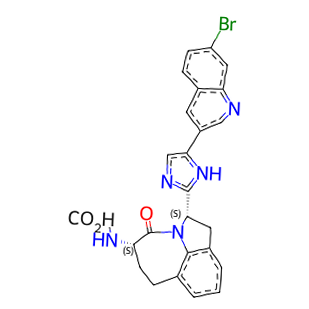 O=C(O)N[C@H]1CCc2cccc3c2N(C1=O)[C@H](c1ncc(-c2cnc4cc(Br)ccc4c2)[nH]1)C3